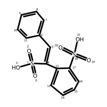 O=S(=O)(O)C(=Cc1ccccc1)c1ccccc1S(=O)(=O)O